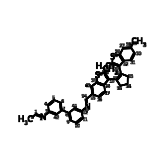 CC=Nc1cccc(-c2cccc(/N=C/c3ccc4c(C5=C(c6c(C)sc7cc(C)ccc67)CCC5)c(C)sc4c3)c2)c1